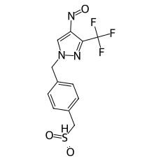 O=Nc1cn(Cc2ccc(C[SH](=O)=O)cc2)nc1C(F)(F)F